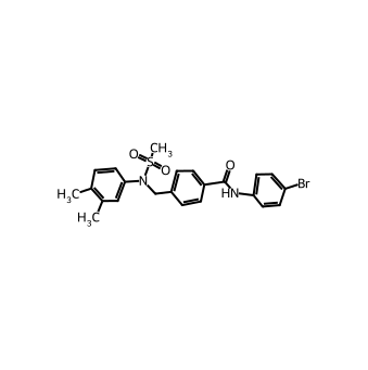 Cc1ccc(N(Cc2ccc(C(=O)Nc3ccc(Br)cc3)cc2)S(C)(=O)=O)cc1C